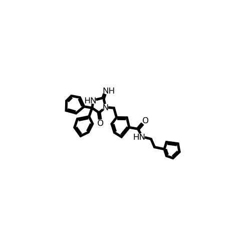 N=C1NC(c2ccccc2)(c2ccccc2)C(=O)N1Cc1cccc(C(=O)NCCc2ccccc2)c1